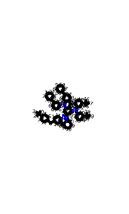 CC(C)(C)c1ccc(Cc2ccc3c(c2)C2(C)CCCCC2(C)N3c2cc3c4c(c2)N(c2cccc(C(C)(C)C)c2)c2cc(C(C)(C)C)ccc2B4c2ccc(-c4ccccc4)cc2N3c2cccc(-c3ccccc3)c2)cc1